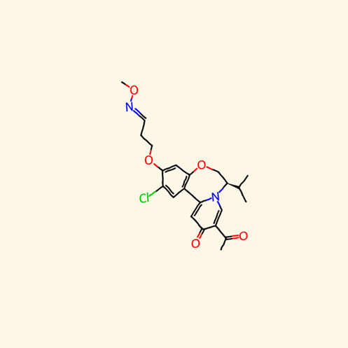 CO/N=C/CCOc1cc2c(cc1Cl)-c1cc(=O)c(C(C)=O)cn1[C@H](C(C)C)CO2